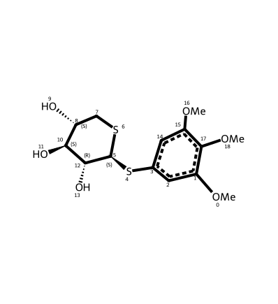 COc1cc(S[C@@H]2SC[C@@H](O)[C@H](O)[C@H]2O)cc(OC)c1OC